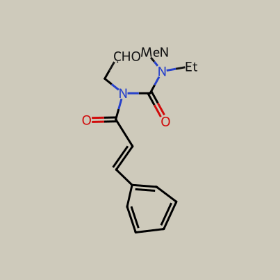 CCN(NC)C(=O)N(C[C]=O)C(=O)/C=C/c1ccccc1